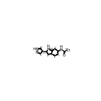 CCC(=O)Nc1ccc2cc(-c3cn[nH]c3)[nH]c2c1